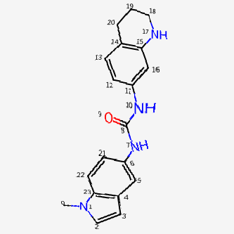 Cn1ccc2cc(NC(=O)Nc3ccc4c(c3)NCCC4)ccc21